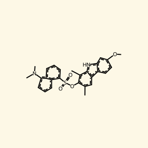 COc1ccc2c(c1)[nH]c1c(C)c(OS(=O)(=O)c3cccc4c(N(C)C)cccc34)c(C)cc12